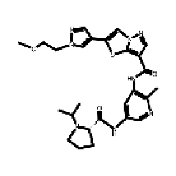 COCCn1cc(-c2cn3ncc(C(=O)Nc4cc(NC(=O)[C@@H]5CCCN5C(C)C)cnc4C)c3s2)cn1